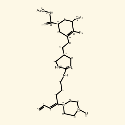 C=C/C=C(\CCCNC1=NC[C@H](CCC2=C(F)[C@H](OC)C[C@H](C(=O)NOC)C2)CN1)N1CCN(CC)CC1